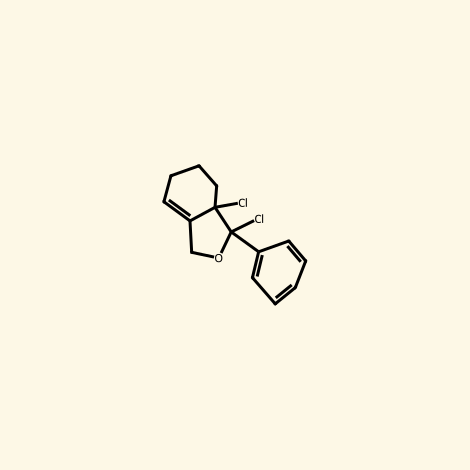 ClC12CCCC=C1COC2(Cl)c1ccccc1